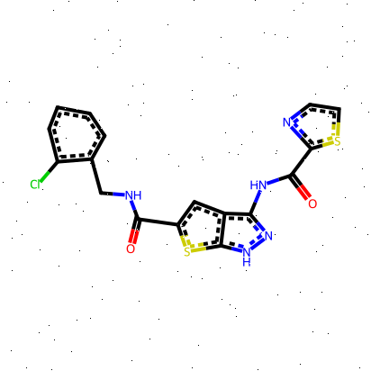 O=C(NCc1ccccc1Cl)c1cc2c(NC(=O)c3nccs3)n[nH]c2s1